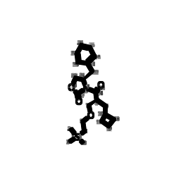 C[Si](C)(C)CCOC[C@H](CC1CCC1)C(=O)N1C(=O)OC[C@H]1Cc1ccccc1